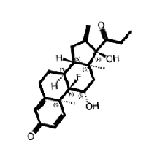 C=C1C[C@H]2[C@@H]3CCC4=CC(=O)C=C[C@]4(C)[C@@]3(F)[C@@H](O)C[C@]2(C)[C@@]1(O)C(=O)CC